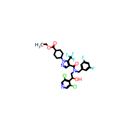 CCOC(=O)C1CCC(n2ncc(C(=O)N(Cc3cc(F)cc(F)c3)CC(O)c3c(Cl)cncc3Cl)c2C(F)(F)F)CC1